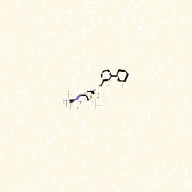 Cc1c(COC(=O)C[C@H](/C=C(\Cl)C(F)(F)F)C(C)(C)C)cccc1-c1ccccc1